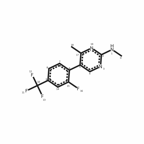 CNc1ncc(-c2ccc(C(F)(F)F)cc2F)c(C)n1